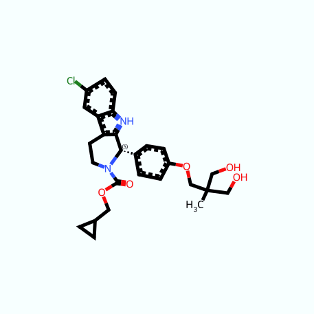 CC(CO)(CO)COc1ccc([C@H]2c3[nH]c4ccc(Cl)cc4c3CCN2C(=O)OCC2CC2)cc1